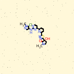 CN1CC[C@@](O)(c2nnc(-c3cccc(-c4ccnc(Nc5cnn(C)c5Cl)n4)n3)s2)C1=O